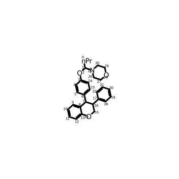 CCCC(Oc1ccc(C2c3ccccc3OCC2c2ccccc2)cc1)N1CCOCC1